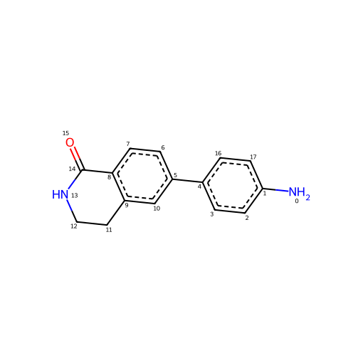 Nc1ccc(-c2ccc3c(c2)CCNC3=O)cc1